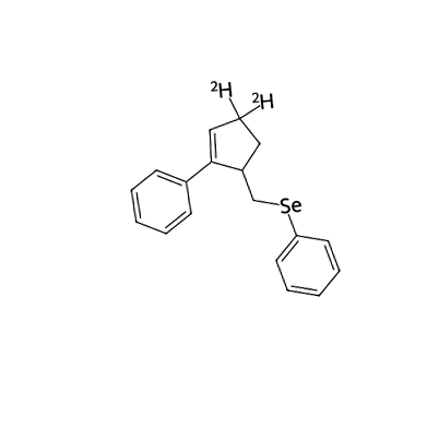 [2H]C1([2H])C=C(c2ccccc2)C(C[Se]c2ccccc2)C1